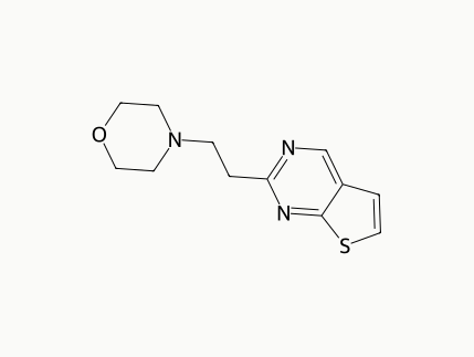 c1cc2cnc(CCN3CCOCC3)nc2s1